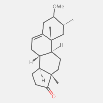 COC1CC2=CC[C@@H]3[C@H](CC[C@]4(C)C(=O)CC[C@@H]34)[C@@]2(C)C[C@H]1C